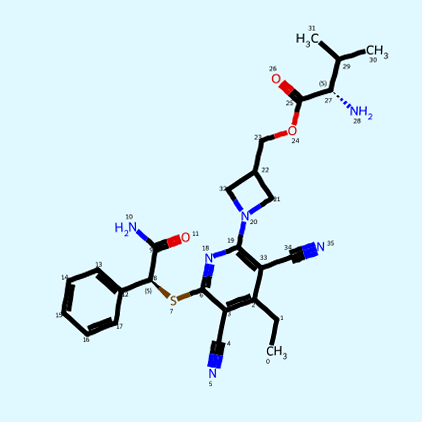 CCc1c(C#N)c(S[C@H](C(N)=O)c2ccccc2)nc(N2CC(COC(=O)[C@@H](N)C(C)C)C2)c1C#N